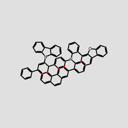 C1=C(c2ccccc2)C=C(n2c3ccccc3c3ccccc32)C(c2ccc(N(c3ccccc3-c3ccc4c(ccc5ccccc54)c3)c3ccccc3-c3cccc4c3oc3ccccc34)cc2)C1